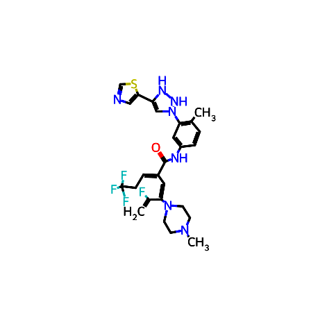 C=C(F)/C(=C\C(=C/CC(F)(F)F)C(=O)Nc1ccc(C)c(N2C=C(c3cncs3)NN2)c1)N1CCN(C)CC1